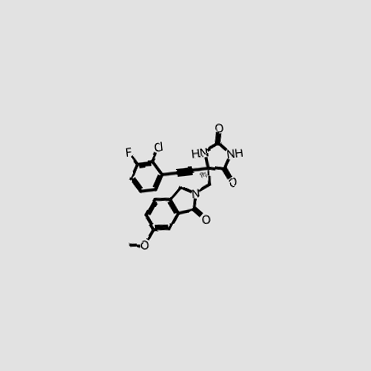 COc1ccc2c(c1)C(=O)N(C[C@@]1(C#Cc3cccc(F)c3Cl)NC(=O)NC1=O)C2